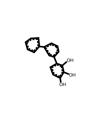 Oc1ccc(-c2cccc(-c3ccccc3)c2)c(O)c1O